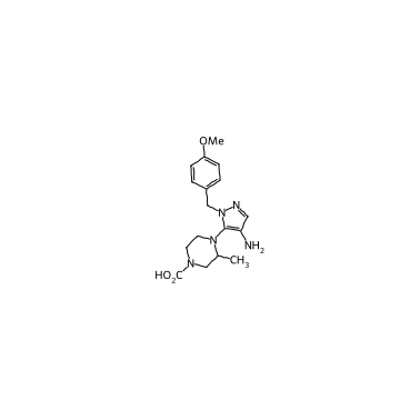 COc1ccc(Cn2ncc(N)c2N2CCN(C(=O)O)CC2C)cc1